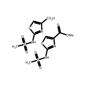 COC(=O)c1csc(NS(C)(=O)=O)n1.CS(=O)(=O)Nc1nc(C(=O)O)cs1